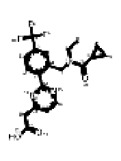 CCN(Cc1cc(C(F)(F)F)ccc1-c1nccc(CC(=O)O)n1)C(=O)C1CC1